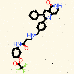 O=C(CCNCc1ccc(-c2nc3cc[nH]c(=O)c3cc2-c2ccccc2)cc1)Nc1cccc(OC(=O)C(F)(F)F)c1